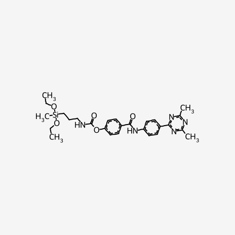 CCO[Si](C)(CCCNC(=O)Oc1ccc(C(=O)Nc2ccc(-c3nc(C)nc(C)n3)cc2)cc1)OCC